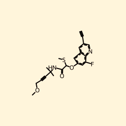 C#Cc1cnc2c(F)cc(OC(SC)C(=O)NC(C)(C)C#CCOC)cc2c1